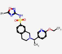 CC(C)c1nc(NS(=O)(=O)c2ccc3c(c2)CN([C@H](C)c2ccc(OCC(F)(F)F)nc2)CC3)no1